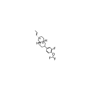 CC=C[C@@H]1CC[C@@H]2CC(c3ccc(OC(F)F)c(F)c3)CC[C@@H]2C1